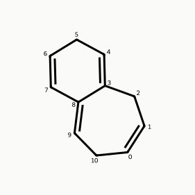 C1=CCC2=CCC=CC2=CC1